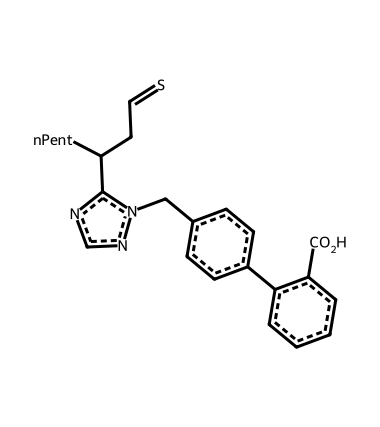 CCCCCC(CC=S)c1ncnn1Cc1ccc(-c2ccccc2C(=O)O)cc1